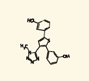 Cn1nnnc1-c1cc(-c2cccc(O)c2)sc1-c1cccc(O)c1